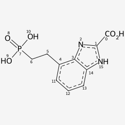 O=C(O)c1nc2c(CCP(=O)(O)O)cccc2[nH]1